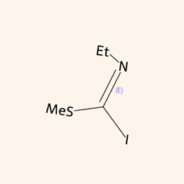 CC/N=C(/I)SC